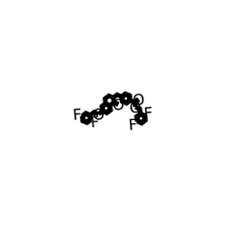 O=C(OCc1cc(F)ccc1F)c1ccc(CC2CCc3cc(OCc4cc(F)ccc4F)ccc3C2=O)cc1